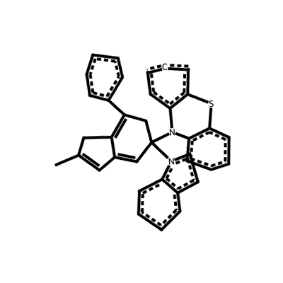 CC1=CC2=CC(N3c4ccccc4Sc4ccccc43)(n3ccc4ccccc43)CC(c3ccccc3)=C2C1